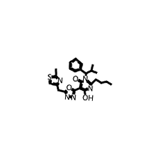 CCCCc1nc(O)c(-c2nnc(Cc3csc(C)n3)o2)c(=O)n1C(c1ccccc1)C(C)C